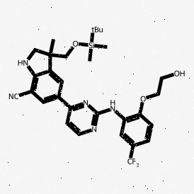 CC1(CO[Si](C)(C)C(C)(C)C)CNc2c(C#N)cc(-c3ccnc(Nc4cc(C(F)(F)F)ccc4OCCO)n3)cc21